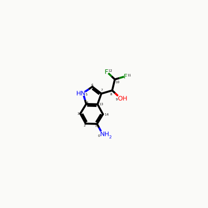 Nc1ccc2[nH]cc(C(O)C(F)F)c2c1